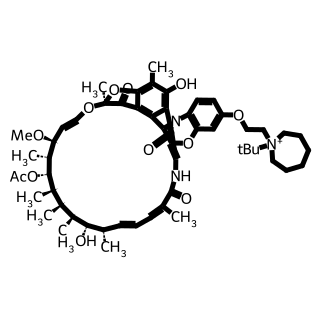 CO[C@H]1/C=C/O[C@@]2(C)Oc3c(C)c(O)c4c(=O)c(c5oc6cc(OCC[N+]7(C(C)(C)C)CCCCCC7)ccc6nc-5c4c3C2=O)NC(=O)/C(C)=C\C=C\[C@H](C)[C@H](O)[C@@H](C)[C@@H](C)[C@@H](C)[C@H](OC(C)=O)[C@@H]1C